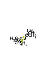 C=C(CC)C1=C(C)CC(c2ccc(C(=C)SC(=C)C3C=CC(C)C(CC)C3)s2)C=C1